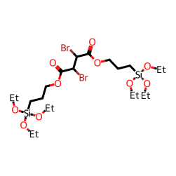 CCO[Si](CCCOC(=O)C(Br)C(Br)C(=O)OCCC[Si](OCC)(OCC)OCC)(OCC)OCC